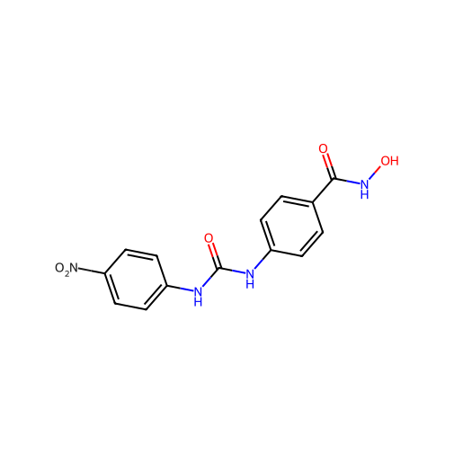 O=C(Nc1ccc(C(=O)NO)cc1)Nc1ccc([N+](=O)[O-])cc1